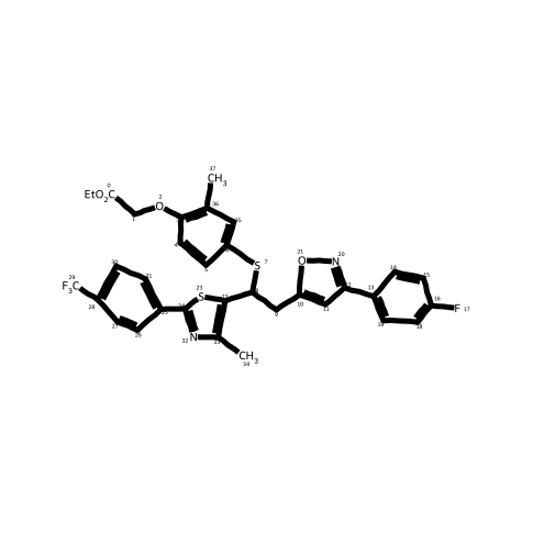 CCOC(=O)COc1ccc(SC(Cc2cc(-c3ccc(F)cc3)no2)c2sc(-c3ccc(C(F)(F)F)cc3)nc2C)cc1C